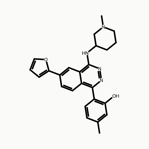 Cc1ccc(-c2nnc(NC3CCCN(C)C3)c3cc(-c4ccco4)ccc23)c(O)c1